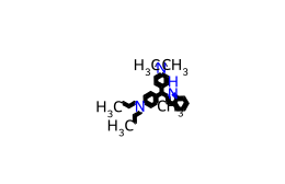 CCCCN(CCCC)c1ccc(C(c2ccc(N(C)C)cc2)c2cc3ccccc3[nH]2)c(C)c1